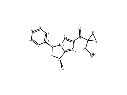 O=C(c1nc2n(n1)[C@H](c1ccccc1)C[C@@H]2F)C1(CO)CC1